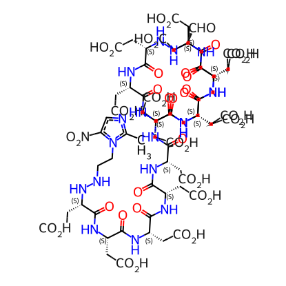 Cc1ncc([N+](=O)[O-])n1CCNN[C@@H](CC(=O)O)C(=O)N[C@@H](CC(=O)O)C(=O)N[C@@H](CC(=O)O)C(=O)N[C@@H](CC(=O)O)C(=O)N[C@@H](CC(=O)O)C(=O)N[C@@H](CC(=O)O)C(=O)N[C@@H](CC(=O)O)C(=O)N[C@@H](CC(=O)O)C(=O)C(=O)[C@H](CC(=O)O)NN[C@@H](CC(=O)O)C(=O)N[C@@H](CC(=O)O)C(=O)N[C@@H](CC(=O)O)C(=O)N[C@@H](CC(=O)O)C(=O)N[C@@H](CC(=O)O)C(=O)N[C@H](C=O)CC(=O)O